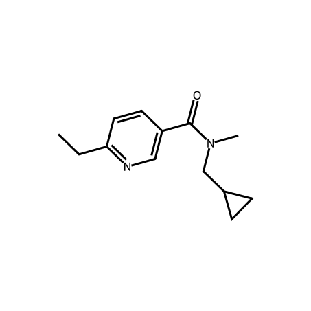 CCc1ccc(C(=O)N(C)CC2CC2)cn1